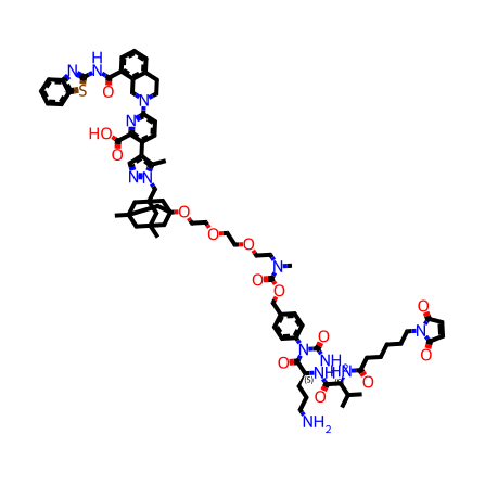 Cc1c(-c2ccc(N3CCc4cccc(C(=O)Nc5nc6ccccc6s5)c4C3)nc2C(=O)O)cnn1CC12CC3(C)CC(C)(C1)CC(OCCOCCOCCN(C)C(=O)OCc1ccc(N(C(N)=O)C(=O)[C@H](CCCN)NC(=O)[C@@H](NC(=O)CCCCCN4C(=O)C=CC4=O)C(C)C)cc1)(C3)C2